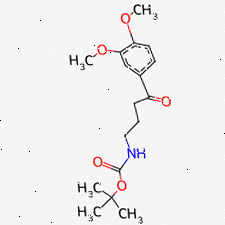 COc1ccc(C(=O)CCCNC(=O)OC(C)(C)C)cc1OC